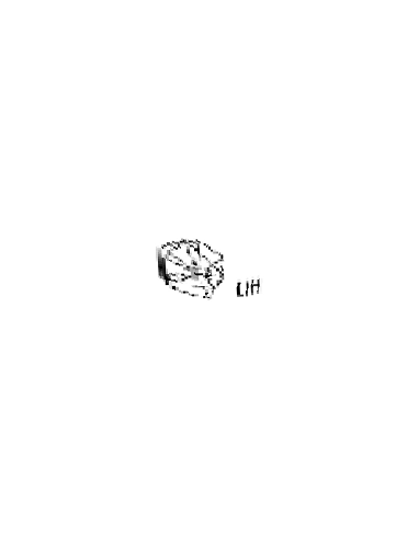 [CH]12[CH]3[CH]4[CH]5[CH]1[Fe]23451678[CH]2[CH]1[CH]6[CH]7[CH]28.[LiH]